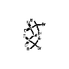 O=S(=O)([SiH2]S(=O)(=O)C(Br)(Br)Br)C(Br)(Br)Br